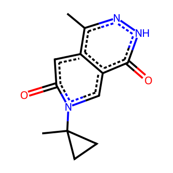 Cc1n[nH]c(=O)c2cn(C3(C)CC3)c(=O)cc12